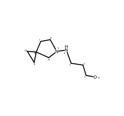 [O]CCCNN1CCC2(CC2)C1